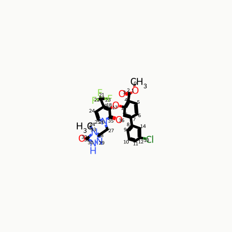 COC(=O)c1ccc(-c2cccc(Cl)c2)cc1Oc1c(C(F)(F)F)ccn(Cc2n[nH]c(=O)n2C)c1=O